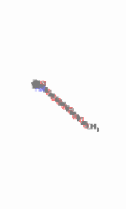 COCCOCCOCCOCCOCCOCCOCCOCCNC(=O)c1ccccc1